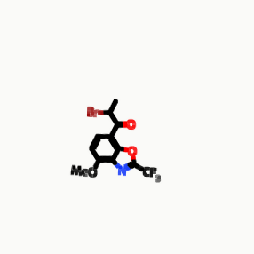 COc1ccc(C(=O)C(C)Br)c2oc(C(F)(F)F)nc12